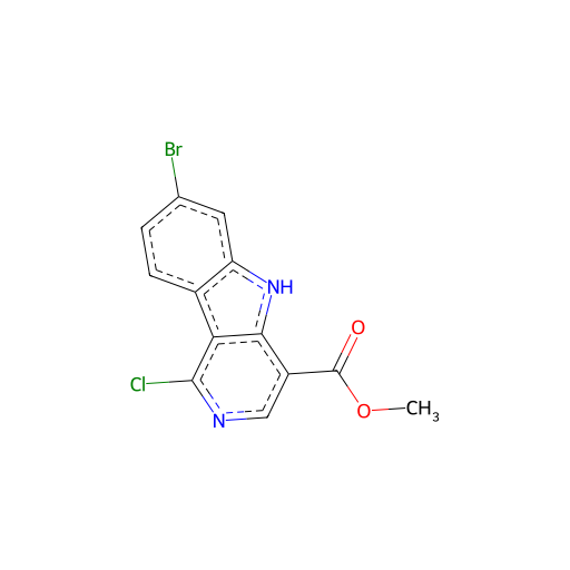 COC(=O)c1cnc(Cl)c2c1[nH]c1cc(Br)ccc12